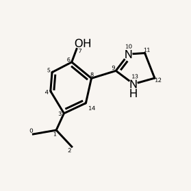 CC(C)c1ccc(O)c(C2=NCCN2)c1